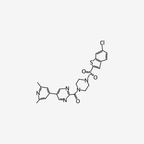 Cc1cc(-c2cnc(C(=O)N3CCN(S(=O)(=O)c4cc5ccc(Cl)cc5s4)CC3)nc2)cc(C)n1